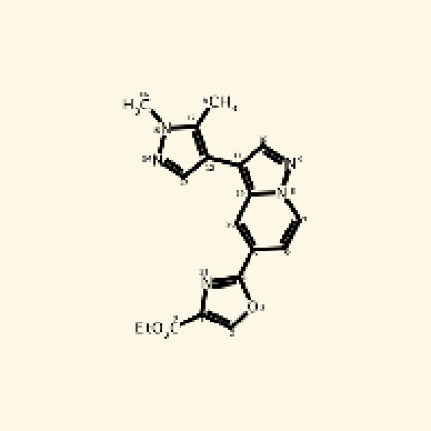 CCOC(=O)c1coc(-c2ccn3ncc(-c4cnn(C)c4C)c3c2)n1